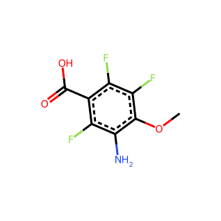 COc1c(N)c(F)c(C(=O)O)c(F)c1F